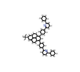 CC(C)(C)c1cc2ccc3c(-c4ccc(-c5cccc(-c6ccccc6)n5)cc4)cc(-c4ccc(-c5cccc(-c6ccccc6)n5)cc4)c4ccc(c1)c2c34